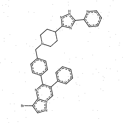 Brc1cnn2cc(-c3ccccc3)c(-c3ccc(CN4CCC(c5n[nH]c(-c6ccccn6)n5)CC4)cc3)nc12